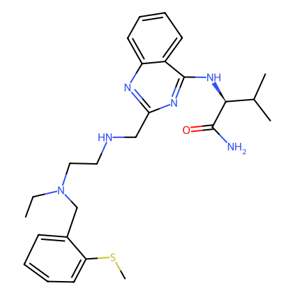 CCN(CCNCc1nc(N[C@H](C(N)=O)C(C)C)c2ccccc2n1)Cc1ccccc1SC